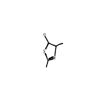 CCC1SC(C)=NC1C